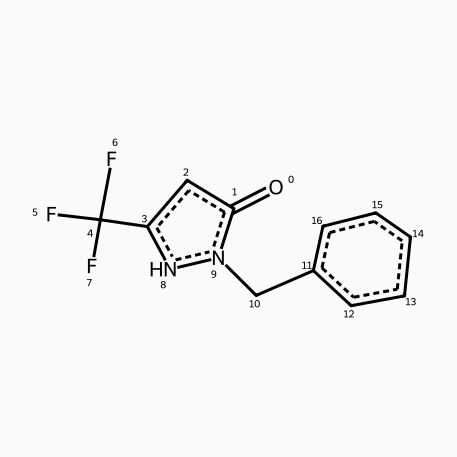 O=c1cc(C(F)(F)F)[nH]n1Cc1ccccc1